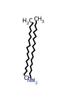 C=CCCCCCCCCCCCCCCCC.CCCCCCCCCCCCCCCCCCN